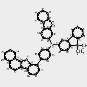 CC1(C)c2ccccc2-c2cc(N(c3ccc(-c4cccc5c4sc4c6ccccc6ccc54)cc3)c3ccc4c(c3)oc3ccccc34)ccc21